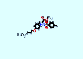 CCOC(=O)CCCOc1ccc(C[C@H](NS(=O)(=O)c2ccc(C)cc2)C(=O)OC(C)(C)C)cc1